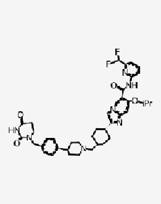 CC(C)Oc1cc2nc([C@H]3CC[C@H](CN4CCC(c5ccc(CN6CCC(=O)NC6=O)cc5)CC4)CC3)cn2cc1C(=O)Nc1cccc(C(F)F)n1